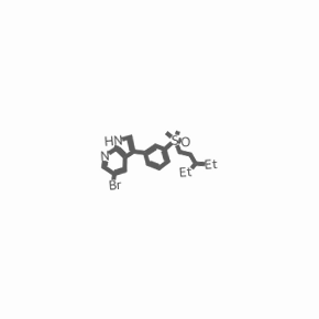 CCC(CC)CCS(C)(C)(=O)c1cccc(-c2c[nH]c3ncc(Br)cc23)c1